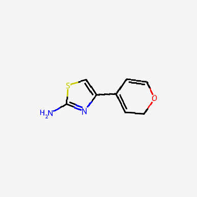 Nc1nc(C2=CCOC=C2)cs1